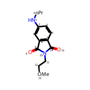 CCCNc1ccc2c(c1)C(=O)N(CCOC)C2=O